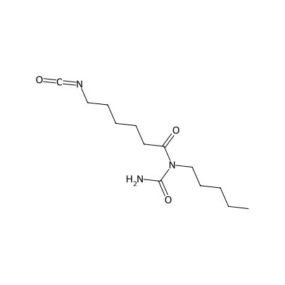 CCCCCN(C(N)=O)C(=O)CCCCCN=C=O